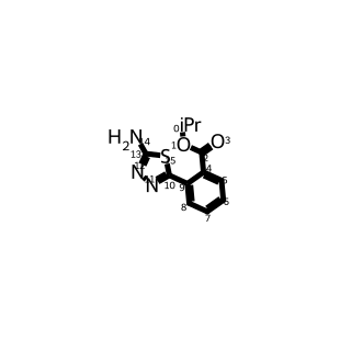 CC(C)OC(=O)c1ccccc1-c1nnc(N)s1